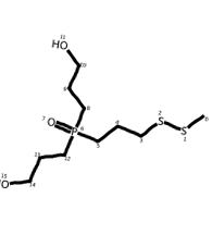 CSSCCCP(=O)(CCCO)CCCO